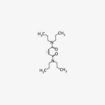 CCCN(CCC)C(=O)/C=C\C(=O)N(CCC)CCC